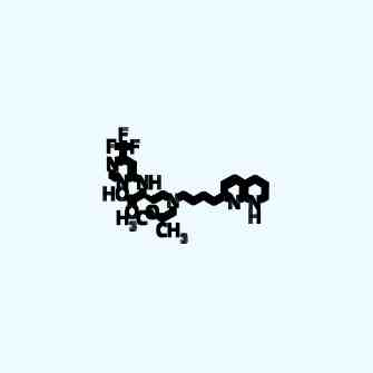 CO[C@H](C)CN(CCCCc1ccc2c(n1)NCCC2)CC[C@H](Nc1cc(C(F)(F)F)ncn1)C(=O)O